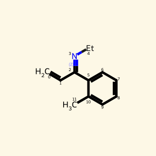 C=C/C(=N/CC)c1ccccc1C